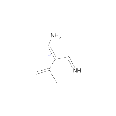 C=C(C)/C(C=N)=C/N